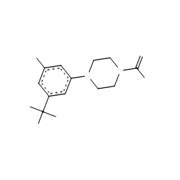 O=C(O)N1CCN(c2cc(F)cc(C(F)(F)F)c2)CC1